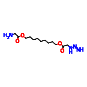 N=NNCC(=O)OCCCCCCCCCOC(=O)CN